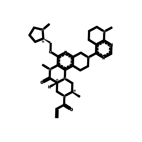 C=CC(=O)N1C[C@@H]2C(=O)N(C)c3c(OC[C@@H]4CCCN4C)nc4c(c3N2C[C@H]1C)CCN(c1ncnc2c1CCCN2C)C4